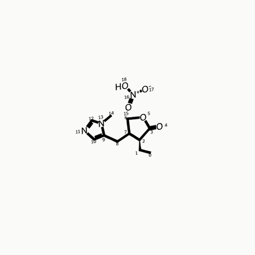 CC[C@@H]1C(=O)OCC1Cc1cncn1C.O=[N+]([O-])O